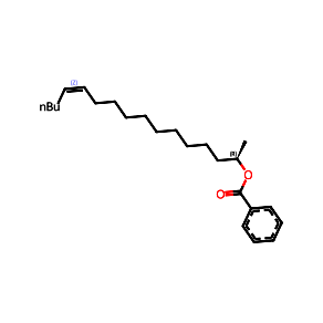 CCCC/C=C\CCCCCCCCC[C@@H](C)OC(=O)c1ccccc1